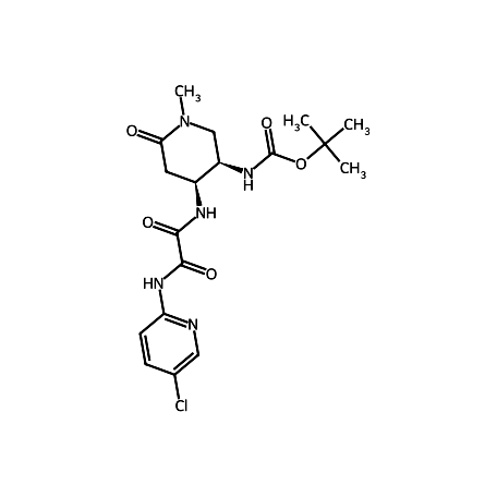 CN1C[C@@H](NC(=O)OC(C)(C)C)[C@@H](NC(=O)C(=O)Nc2ccc(Cl)cn2)CC1=O